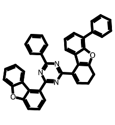 C1=C(c2nc(-c3ccccc3)nc(-c3cccc4oc5ccccc5c34)n2)c2c(oc3c(-c4ccccc4)cccc23)CC1